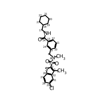 Cc1c(S(=O)(=O)N(C)Cc2cccc(C(=O)NCC3CCCCC3)c2)sc2ccc(Cl)cc12